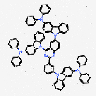 c1ccc(N(c2ccccc2)c2ccc3c(c2)c2ccccc2n3-c2cccc(-c3nc(-n4c5ccccc5c5cc(N(c6ccccc6)c6ccccc6)ccc54)c4cc(-n5c6ccccc6c6cc(N(c7ccccc7)c7ccccc7)ccc65)ccc4n3)c2)cc1